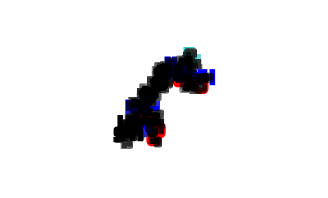 COC(=O)N[C@H](C(=O)C1C[C@H]2C[Si](C)(C)C[C@@H]2C[C@H]1c1ncc(-c2ccc(-c3ccc4c(ccc5nc(C6CC(F)(F)CN6C(=O)[C@@H](NC(C)=O)C(C)C)[nH]c54)c3)cc2)[nH]1)C(C)C